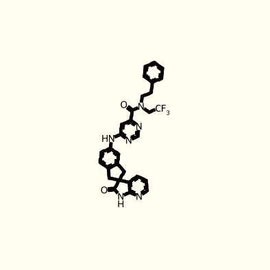 O=C(c1cc(Nc2ccc3c(c2)CC2(C3)C(=O)Nc3ncccc32)ncn1)N(CCc1ccccc1)CC(F)(F)F